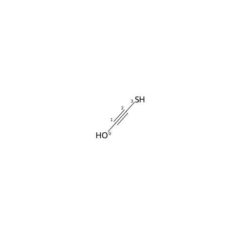 OC#CS